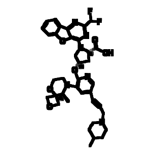 CC1CCN(CC#Cc2cnc(O[C@H]3C[C@@H](C(=O)O)N(c4nc(C(F)F)nc5c4oc4ccccc45)C3)c(N3CCOC4(COC4)[C@@H]3C)c2)CC1